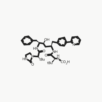 CC(C)(C)[C@H](NC(=O)O)C(=O)N[C@H](Cc1ccc(-c2ccccn2)cc1)C[C@H](O)[C@H](Cc1ccccc1)NC(=O)[C@@H](N1CCNC1=O)C(C)(C)C